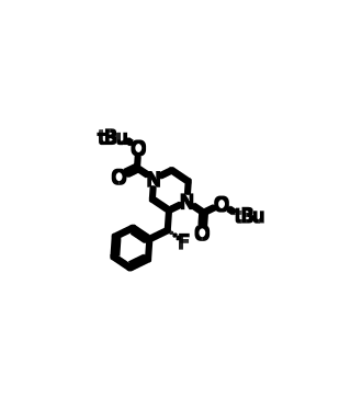 CC(C)(C)OC(=O)N1CCN(C(=O)OC(C)(C)C)C([C@H](F)c2ccccc2)C1